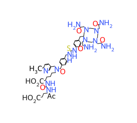 CC(=O)[C@@H](CCC(=O)O)NC(=O)N[C@H](CCCCN(Cc1ccc(C)nc1)C(=O)c1ccc(CNC(=S)Nc2ccc(CC3CN(CC(N)=O)CCN(CC(N)=O)CCN(CC(N)=O)CCN3CC(N)=O)cc2)cc1)C(=O)O